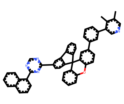 Cc1cncc(-c2cccc(-c3ccc4c(c3)C3(c5ccccc5O4)c4ccccc4-c4cc(-c5ncnc(-c6cccc7ccccc67)n5)ccc43)c2)c1C